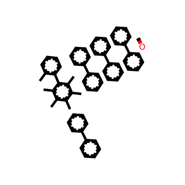 C=O.Cc1ccccc1-c1c(C)c(C)c(C)c(C)c1C.c1ccc(-c2ccccc2)cc1.c1ccc(-c2ccccc2)cc1.c1ccc(-c2ccccc2)cc1.c1ccc(-c2ccccc2)cc1